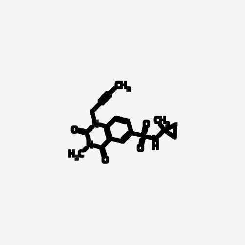 CC#CCn1c(=O)n(C)c(=O)c2cc(S(=O)(=O)NC3(C)CC3)ccc21